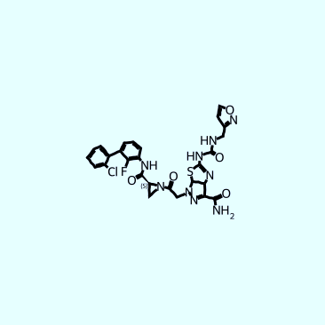 NC(=O)C1=NN(CC(=O)N2C[C@H]2C(=O)Nc2cccc(-c3ccccc3Cl)c2F)C2SC(NC(=O)NCc3ccon3)=NC12